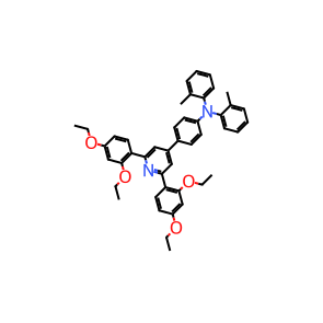 CCOc1ccc(-c2cc(-c3ccc(N(c4ccccc4C)c4ccccc4C)cc3)cc(-c3ccc(OCC)cc3OCC)n2)c(OCC)c1